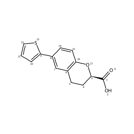 O=C(O)[C@H]1CCc2cc(-c3cccs3)ccc2O1